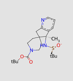 CC(C)(C)OC(=O)N1CCC2(CC1)Cc1ncccc1[C@@]2(C)N[S@@+]([O-])C(C)(C)C